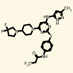 Cc1cc(Nc2cc(N3CCC(N4CCC(F)(F)C4)CC3)nc(Sc3ccc(NC(=O)CC(F)(F)F)cc3)n2)[nH]n1